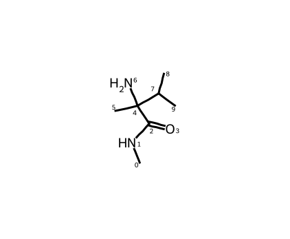 CNC(=O)C(C)(N)C(C)C